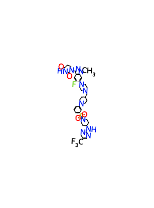 Cn1nc(N2CCC(=O)NC2=O)c2cc(F)c(N3CCN(CC4CCN(c5cccc(S(=O)(=O)N6CCC(Nc7ncc(C(F)(F)F)cn7)CC6)c5)CC4)CC3)cc21